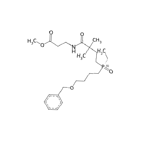 CC[P@](=O)(CCCCOCc1ccccc1)CCC(C)(C)C(=O)NCCC(=O)OC